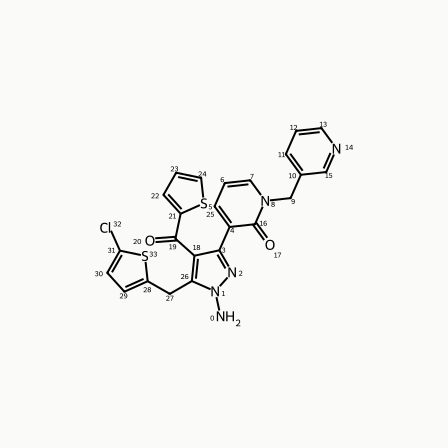 Nn1nc(-c2cccn(Cc3cccnc3)c2=O)c(C(=O)c2cccs2)c1Cc1ccc(Cl)s1